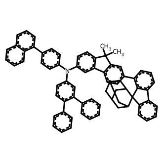 CC1(C)c2ccc(N(c3ccc(-c4cccc5ccccc45)cc3)c3ccc(-c4ccccc4)c(-c4ccccc4)c3)cc2-c2ccc(-c3cccc4c3C3(c5ccccc5-4)C4CC5CC(C4)CC3C5)cc21